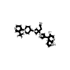 N#CCC1(n2cc(-c3c(F)cnc4[nH]ccc34)cn2)CN(C2CCN(c3ccncc3C(F)(F)F)CC2)C1